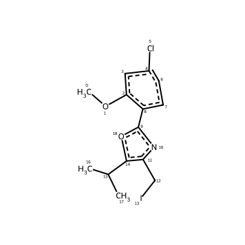 COc1cc(Cl)ccc1-c1nc(CI)c(C(C)C)o1